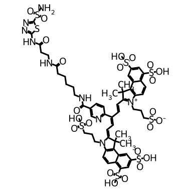 CC1(C)C(/C=C/C(=C/C=C2/N(CCCS(=O)(=O)O)c3ccc4c(S(=O)(=O)O)cc(S(=O)(=O)O)cc4c3C2(C)C)c2ccc(C(=O)NCCCCCC(=O)NCCC(=O)Nc3nnc(S(N)(=O)=O)s3)cn2)=[N+](CCCS(=O)(=O)[O-])c2ccc3c(S(=O)(=O)O)cc(S(=O)(=O)O)cc3c21